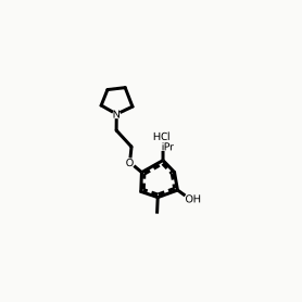 Cc1cc(OCCN2CCCC2)c(C(C)C)cc1O.Cl